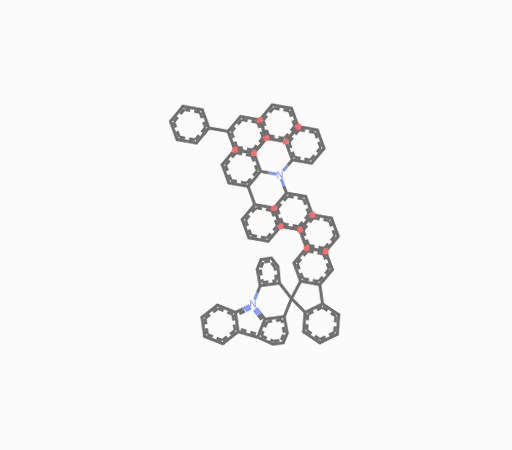 c1ccc(-c2ccc(-c3ccccc3N(c3ccc(-c4ccc5c(c4)C4(c6ccccc6-5)c5ccccc5-n5c6ccccc6c6cccc4c65)cc3)c3c(-c4ccccc4)cccc3-c3cccc(-c4ccccc4)c3)cc2)cc1